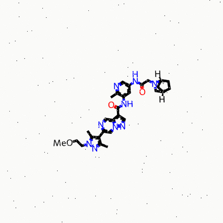 COCCn1nc(C)c(-c2cn3ncc(C(=O)Nc4cc(NC(=O)CN5C[C@H]6CC[C@@H]5C6)cnc4C)c3cn2)c1C